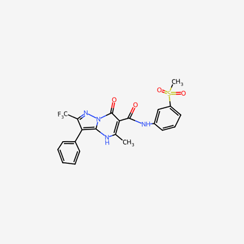 Cc1[nH]c2c(-c3ccccc3)c(C(F)(F)F)nn2c(=O)c1C(=O)Nc1cccc(S(C)(=O)=O)c1